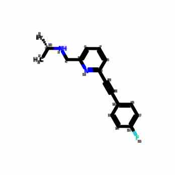 CC(C)[C@@H](C)NCc1cccc(C#Cc2ccc(F)cc2)n1